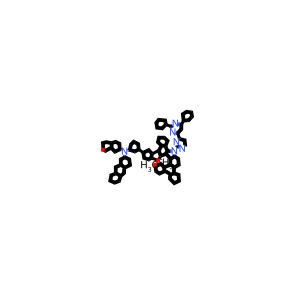 CC1(C)c2ccc(-c3cccc(N(c4ccc5ccccc5c4)c4ccc5cc6ccccc6cc5c4)c3)cc2-c2c1c1c3c4c5ccccc5c5ccccc5c4ccc3n(-c3nccc(-c4cc(-c5ccccc5)nc(-c5ccccc5)n4)n3)c1c1ccccc21